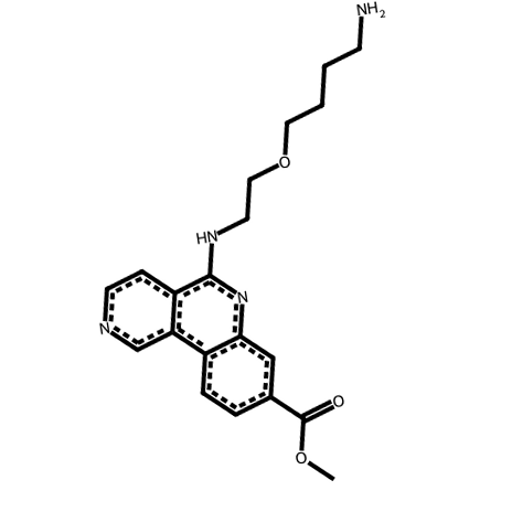 COC(=O)c1ccc2c(c1)nc(NCCOCCCCN)c1ccncc12